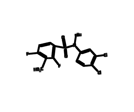 CCCCN(c1ccc(Cl)c(Cl)c1)S(=O)(=O)c1ccc(F)c(C(=O)O)c1F